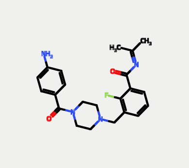 CC(C)=NC(=O)c1cccc(CN2CCN(C(=O)c3ccc(N)cc3)CC2)c1F